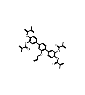 C=CCOc1cc(-c2ccc(OC(=C)C(=C)C)c(OC(=O)C(=C)C)c2)ccc1-c1ccc(OC(=O)C(=C)C)c(OC(=O)C(=C)C)c1